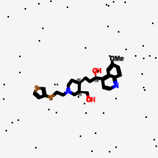 COc1ccc2nccc([C@@H](O)CC[C@@H]3CCN(CCSc4ccsc4)C[C@@H]3CO)c2c1